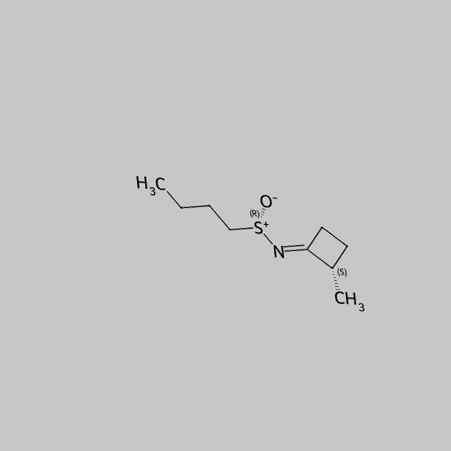 CCCC[S@+]([O-])N=C1CC[C@@H]1C